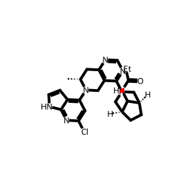 CCC(=O)NC1[C@@H]2CC[C@H]1CN(c1ncnc3c1CN(c1cc(Cl)nc4[nH]ccc14)[C@H](C)C3)C2